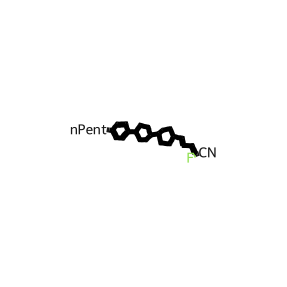 CCCCCc1ccc(C2CCC(C3CCC(C=CC=C(F)C#N)CC3)CC2)cc1